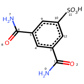 NC(=O)c1cc(C(N)=O)cc(S(=O)(=O)O)c1